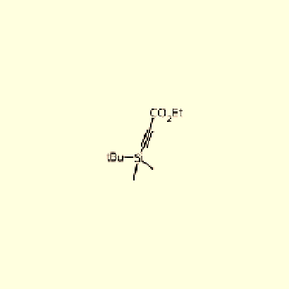 CCOC(=O)C#C[Si](C)(C)C(C)(C)C